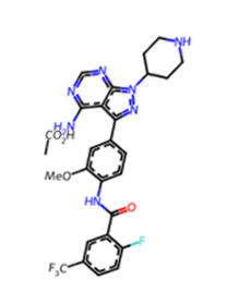 CC(=O)O.COc1cc(-c2nn(C3CCNCC3)c3ncnc(N)c23)ccc1NC(=O)c1cc(C(F)(F)F)ccc1F